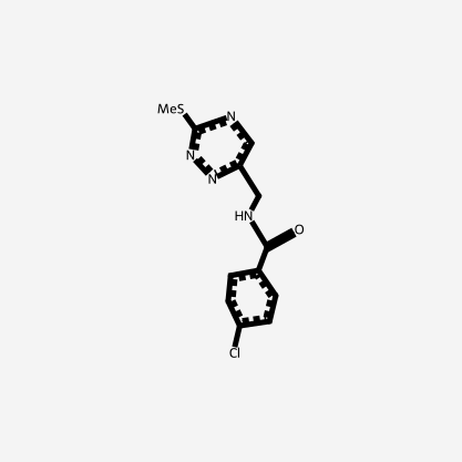 CSc1ncc(CNC(=O)c2ccc(Cl)cc2)nn1